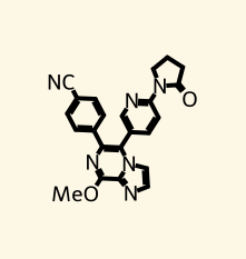 COc1nc(-c2ccc(C#N)cc2)c(-c2ccc(N3CCCC3=O)nc2)n2ccnc12